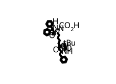 CC(C)(C)OC(=O)NC(Cc1ccccc1)C(=O)NCCCCN1C(=O)C(c2ccccc2)(c2ccccc2)NC1=NC(=O)O